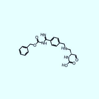 N=C(NC(=O)OCc1ccccc1)c1ccc(CNC[C@@H](C=O)NC(=O)O)cc1